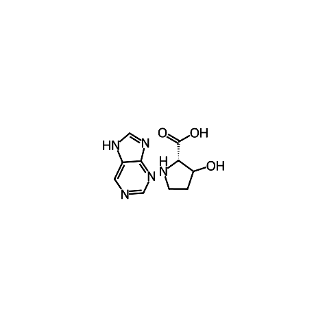 O=C(O)[C@H]1NCCC1O.c1ncc2[nH]cnc2n1